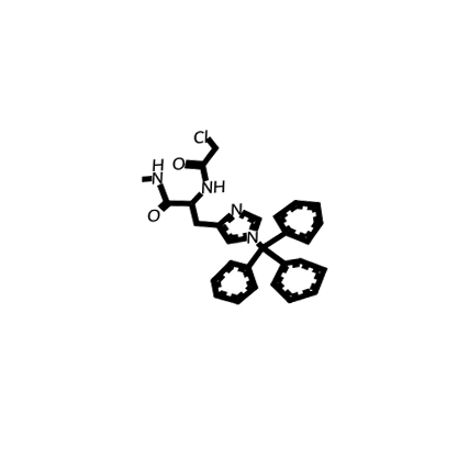 CNC(=O)C(Cc1cn(C(c2ccccc2)(c2ccccc2)c2ccccc2)cn1)NC(=O)CCl